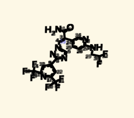 NC(=O)/C(=C/n1cnc(-c2cc(C(F)(F)F)nc(C(F)(F)F)c2)n1)c1ccc(NCC(F)F)nc1